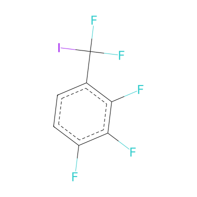 Fc1ccc(C(F)(F)I)c(F)c1F